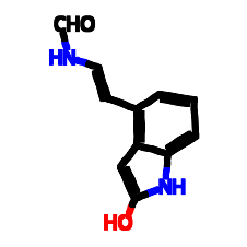 O=CNC=Cc1cccc2[nH]c(O)cc12